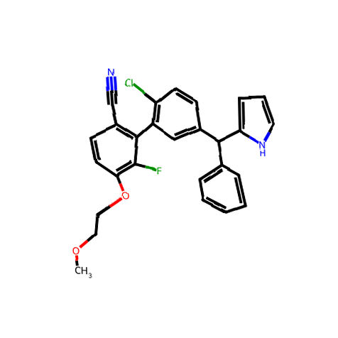 COCCOc1ccc(C#N)c(-c2cc(C(c3ccccc3)c3ccc[nH]3)ccc2Cl)c1F